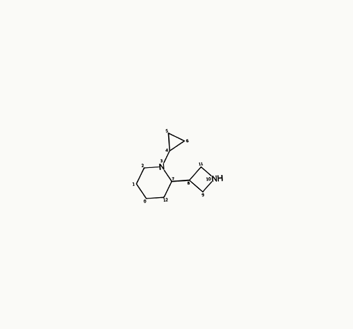 C1CCN(C2CC2)C(C2CNC2)C1